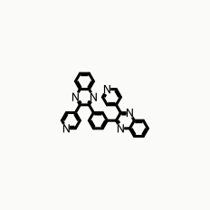 c1cc(-c2nc3ccccc3nc2-c2ccncc2)cc(-c2nc3ccccc3nc2-c2ccncc2)c1